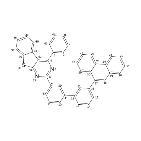 c1ccc(-c2nc(-c3cccc(-c4cccc(-c5cc6ccccc6c6ccccc56)c4)c3)nc3sc4ccccc4c23)cc1